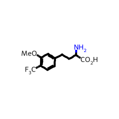 COc1cc(CCC(N)C(=O)O)ccc1C(F)(F)F